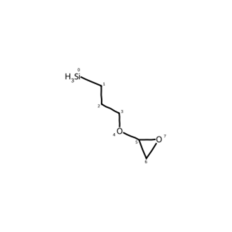 [SiH3]CCCOC1CO1